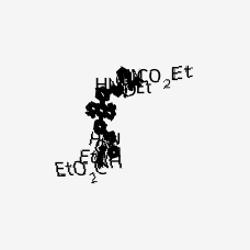 CCOC(=O)NC(CC)C(=O)N1CCC[C@H]1c1ncc(-c2cccc(-c3c4c(c(-c5cccc(-c6cnc([C@@H]7CCCN7C(=O)[C@@H](CC)NC(=O)OCC)[nH]6)c5)c5c3C(C)(C)CC5)C(C)(C)CC4)c2)[nH]1